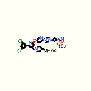 CC(=O)NCC1CCN(Cc2cc(Oc3ccc(N4CCN(C5CC(NC(=O)OC(C)(C)C)C5)CC4)nc3)nc(-c3cc(Cl)cc(Cl)c3)c2)CC1